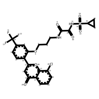 O=C(NCCCOc1cc(C(F)(F)F)ccc1-c1cc(=O)c2cccc(Cl)c2o1)C(=O)NS(=O)(=O)C1CC1